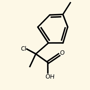 Cc1ccc(C(C)(Cl)C(=O)O)cc1